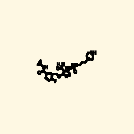 NC(=O)c1c(OCc2cc(C(=O)NC3CC3)ccc2F)nsc1NC(=O)NCCCN1CCNCC1